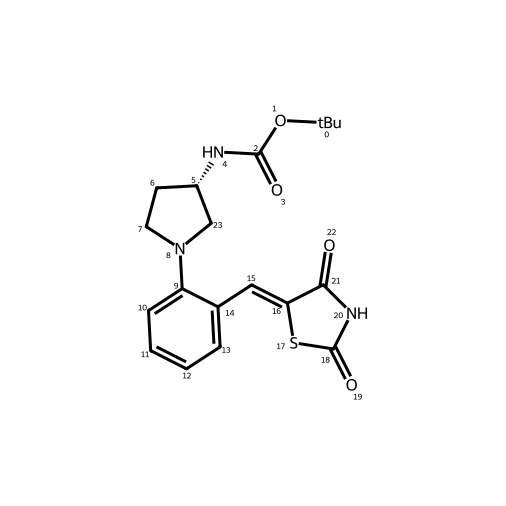 CC(C)(C)OC(=O)N[C@H]1CCN(c2ccccc2/C=C2\SC(=O)NC2=O)C1